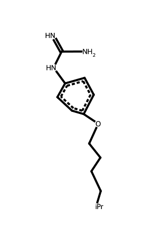 CC(C)CCCCOc1ccc(NC(=N)N)cc1